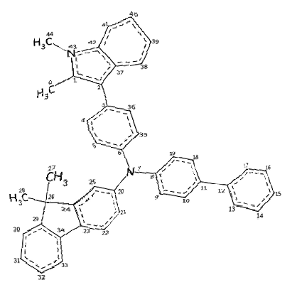 Cc1c(-c2ccc(N(c3ccc(-c4ccccc4)cc3)c3ccc4c(c3)C(C)(C)c3ccccc3-4)cc2)c2ccccc2n1C